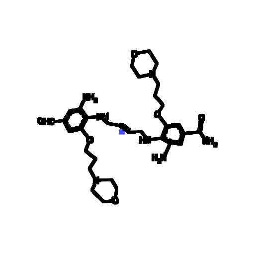 NC(=O)c1cc(N)c(NC/C=C/CNc2c(N)cc(C=O)cc2OCCCN2CCOCC2)c(OCCCN2CCOCC2)c1